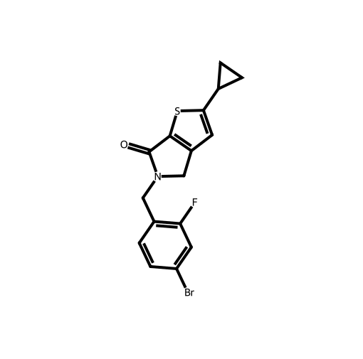 O=C1c2sc(C3CC3)cc2CN1Cc1ccc(Br)cc1F